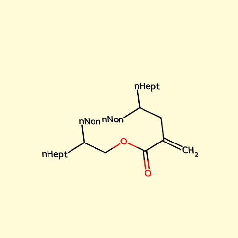 C=C(CC(CCCCCCC)CCCCCCCCC)C(=O)OCC(CCCCCCC)CCCCCCCCC